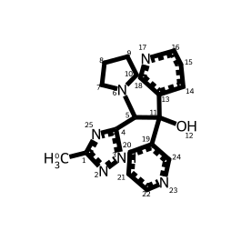 Cc1n[nH]c(C(N2CCCC2)C(O)(c2cccnc2)c2cccnc2)n1